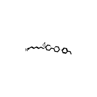 CCc1ccc([C@H]2CC[C@H]([C@H]3CC[C@@](CCC=CC=CC#N)(OC)CC3)CC2)cc1